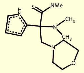 CNC(=S)C(CN1CCOCC1)(c1ccc[nH]1)N(C)C